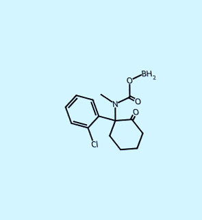 BOC(=O)N(C)C1(c2ccccc2Cl)CCCCC1=O